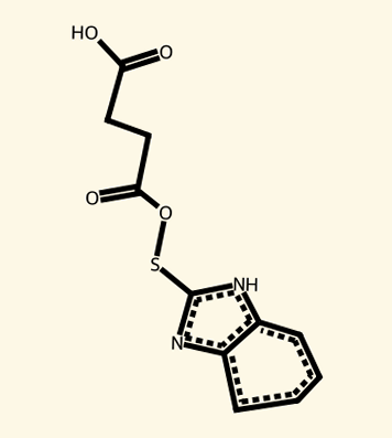 O=C(O)CCC(=O)OSc1nc2ccccc2[nH]1